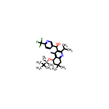 CC(C)c1nc2c(c(I)c1C(O)c1ccc(C(F)(F)F)nc1)[C@H](O[Si](C)(C)C(C)(C)C)CC(C)(C)C2